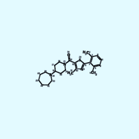 Cc1cccc(C)c1-c1nc(C)c(C(=O)N2CCC(N3CCCCCC3)CC2)s1